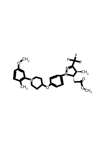 COC(=O)C[C@H]1[C@H](C)C(C(F)(F)F)=NN1c1ccc(OC2CCN(c3cc(OC)ccc3C)CC2)cc1